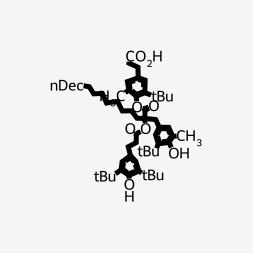 CCCCCCCCCCCCCCCCCCC(Cc1cc(C)c(O)c(C(C)(C)C)c1)(OC(=O)CCc1cc(C(C)(C)C)c(O)c(C(C)(C)C)c1)C(=O)Oc1c(C)cc(CCC(=O)O)cc1C(C)(C)C